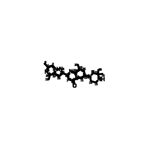 Cc1cn2nc(-c3cc(=O)n4cc(N5CCNC(C)(C)C5)cc(C)c4n3)cc2c(C)n1